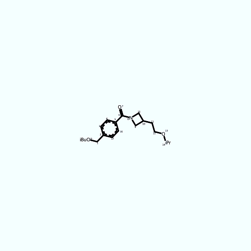 CC(C)COCc1ccc(C(=O)N2CC(CCOC(C)C)C2)cc1